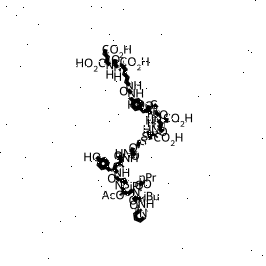 CCCC(=O)OCN(C(=O)[C@@H](NC(=O)[C@H]1CCCCN1C)C(C)CC)[C@H](C[C@@H](OC(C)=O)c1nc(C(=O)N[C@@H](Cc2ccc(O)cc2)C[C@H](C)C(=O)NNC(=O)OCCSSC(C)(C)[C@@H](NC(=O)[C@@H](CC(=O)O)NC(=O)[C@@H](CC(=O)O)NC(=O)Cc2ccc(CNC(=O)NCCCC[C@H](NC(=O)N[C@@H](CCC(=O)O)C(=O)O)C(=O)O)cc2)C(=O)O)cs1)C(C)C